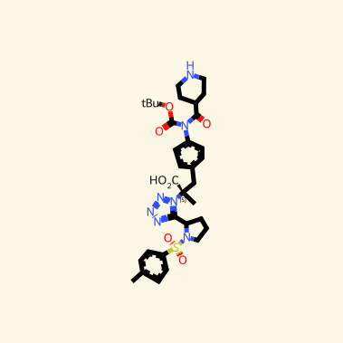 Cc1ccc(S(=O)(=O)N2CCCC2c2nnnn2[C@@](C)(Cc2ccc(N(C(=O)OC(C)(C)C)C(=O)C3CCNCC3)cc2)C(=O)O)cc1